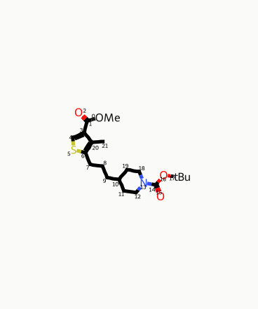 COC(=O)c1csc(CCCC2CCN(C(=O)OC(C)(C)C)CC2)c1C